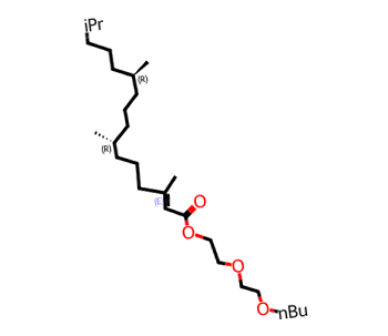 CCCCOCCOCCOC(=O)/C=C(\C)CCC[C@H](C)CCC[C@H](C)CCCC(C)C